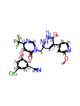 COc1cc(/C(=C/C(=N)Cn2cnc(C(F)(F)F)c(Oc3cc(Cl)cc(C#N)c3)c2=O)C(N)=O)ccn1